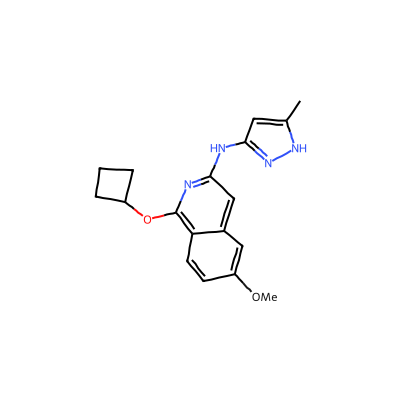 COc1ccc2c(OC3CCC3)nc(Nc3cc(C)[nH]n3)cc2c1